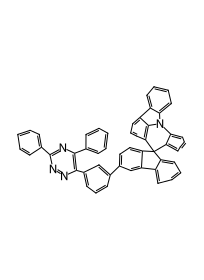 c1ccc(-c2nnc(-c3cccc(-c4ccc5c(c4)-c4ccccc4C54c5ccccc5-n5c6ccccc6c6cccc4c65)c3)c(-c3ccccc3)n2)cc1